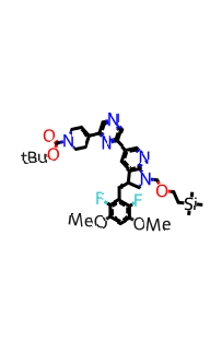 COc1cc(OC)c(F)c(CC2CN(COCC[Si](C)(C)C)c3ncc(-c4cncc(C5=CCN(C(=O)OC(C)(C)C)CC5)n4)cc32)c1F